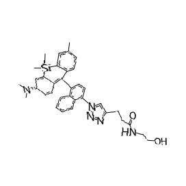 Cc1ccc2c(c1)[Si](C)(C)C1=CC(=[N+](C)C)C=CC1=C2c1ccc(-n2cc(CCC(=O)NCCO)nn2)c2ccccc12